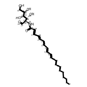 CCCCCCCCCC=CC=CC=CC=CC=CC(=O)N[C@@H](C=O)[C@@H](O)[C@H](O)[C@H](O)CO